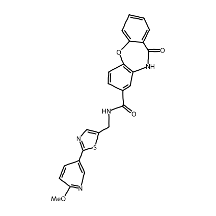 COc1ccc(-c2ncc(CNC(=O)c3ccc4c(c3)NC(=O)c3ccccc3O4)s2)cn1